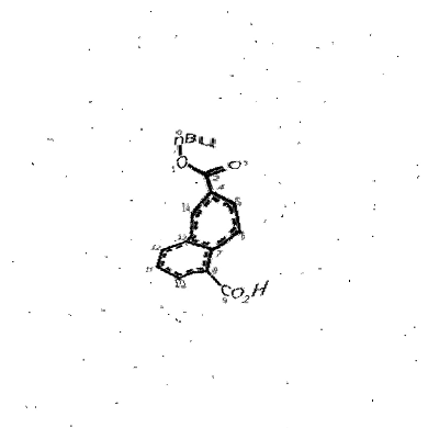 CCCCOC(=O)c1ccc2c(C(=O)O)cccc2c1